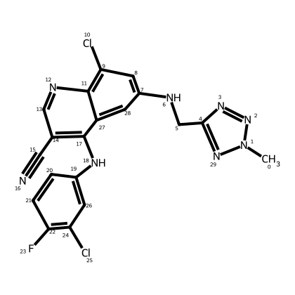 Cn1nnc(CNc2cc(Cl)c3ncc(C#N)c(Nc4ccc(F)c(Cl)c4)c3c2)n1